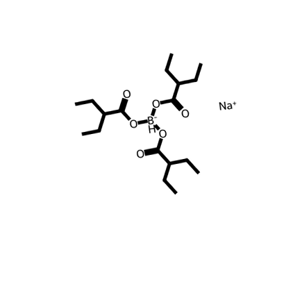 CCC(CC)C(=O)O[BH-](OC(=O)C(CC)CC)OC(=O)C(CC)CC.[Na+]